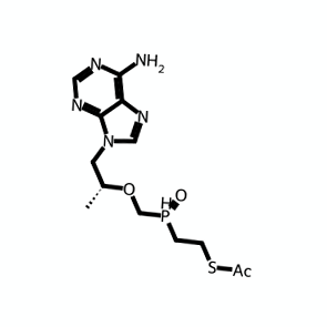 CC(=O)SCC[PH](=O)CO[C@H](C)Cn1cnc2c(N)ncnc21